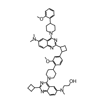 COc1cc(C2CCC2c2nc(N3CCC(c4ccccc4OC)CC3)c3cc(N(C)C)ccc3n2)ccc1C1CCN(c2nc(C3CCC3)nc3ccc(N(C)CCO)cc23)CC1